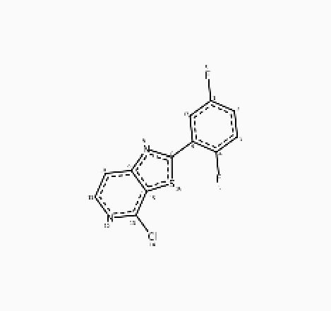 Fc1ccc(F)c(-c2nc3ccnc(Cl)c3s2)c1